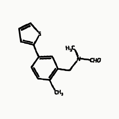 Cc1ccc(-c2cccs2)cc1CN(C)C=O